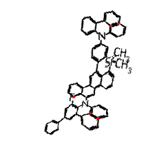 C[Si]1(C)c2cc(N(c3ccccc3)c3ccccc3-c3ccccc3)ccc2-c2cc3c4ccccc4c(N(c4ccccc4)c4c(F)cc(-c5ccccc5)cc4-c4ccccc4)cc3c3cccc1c23